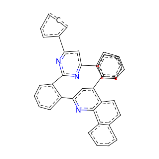 c1ccc(-c2cc(-c3ccccc3)nc(-c3ccccc3-c3cc(-c4ccccc4)c4ccc5ccccc5c4n3)n2)cc1